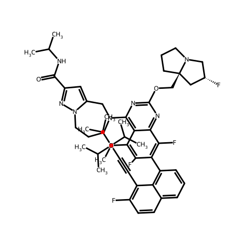 COc1c(F)c(-c2cccc3ccc(F)c(C#C[Si](C(C)C)(C(C)C)C(C)C)c23)c(F)c2nc(OC[C@@]34CCCN3C[C@H](F)C4)nc(N3CCCn4nc(C(=O)NC(C)C)cc4C3)c12